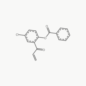 C=CC(=O)c1cc(Cl)ccc1OC(=O)c1ccccc1